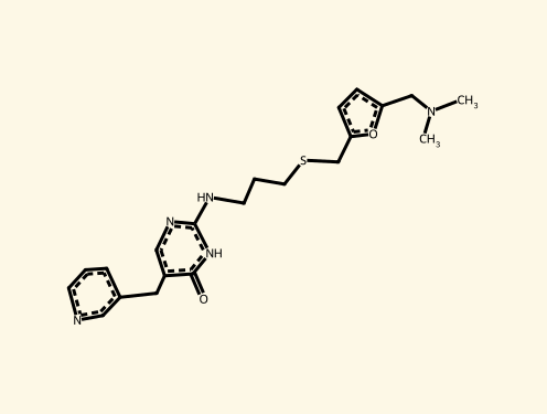 CN(C)Cc1ccc(CSCCCNc2ncc(Cc3cccnc3)c(=O)[nH]2)o1